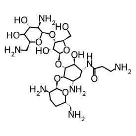 NCCC(=O)N[C@@H]1C[C@H](N)[C@@H](O[C@H]2O[C@H](CN)CC[C@H]2N)[C@H](O[C@@H]2O[C@H](CO)[C@@H](O[C@H]3O[C@@H](CN)[C@@H](O)[C@H](O)[C@H]3N)[C@H]2O)[C@H]1O